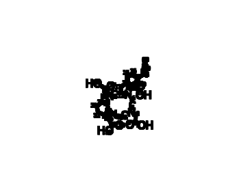 O=C(O)CN1CCN(CC(=O)O)C(Cc2ccc(N=C=S)cc2)CN(CC(=O)O)[C@H]2CCCC[C@@H]2N(CC(=O)O)CC1